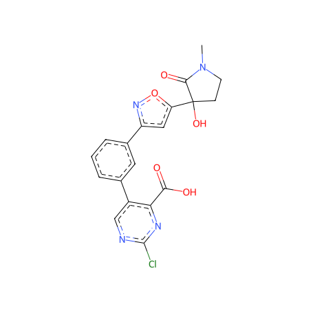 CN1CCC(O)(c2cc(-c3cccc(-c4cnc(Cl)nc4C(=O)O)c3)no2)C1=O